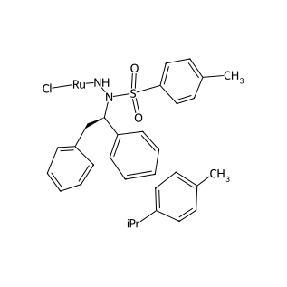 Cc1ccc(C(C)C)cc1.Cc1ccc(S(=O)(=O)N([NH][Ru][Cl])[C@H](Cc2ccccc2)c2ccccc2)cc1